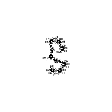 O=C(O)c1cc(OCc2cn(CCO[C@@H]3O[C@H](CO[C@@H]4O[C@H](CO[C@@H]5O[C@H](CO)[C@@H](O)[C@H](O)[C@H]5O)[C@@H](O)[C@H](O)[C@H]4O)[C@@H](O)[C@H](O)[C@H]3O)nn2)cc(OCc2cn(CCO[C@@H]3O[C@H](CO[C@@H]4O[C@H](CO[C@@H]5O[C@H](CO)[C@@H](O)[C@H](O)[C@H]5O)[C@@H](O)[C@H](O)[C@H]4O)[C@@H](O)[C@H](O)[C@H]3O)nn2)c1